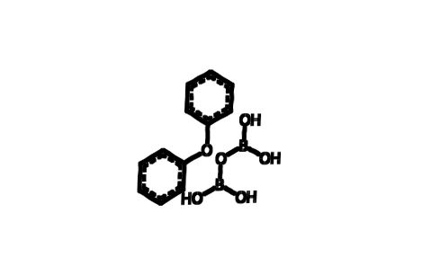 OB(O)OB(O)O.c1ccc(Oc2ccccc2)cc1